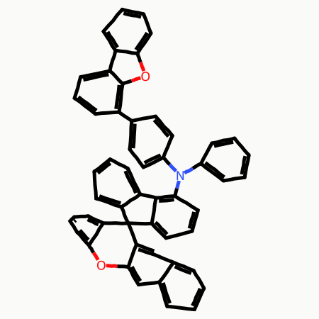 c1ccc(N(c2ccc(-c3cccc4c3oc3ccccc34)cc2)c2cccc3c2-c2ccccc2C32c3ccccc3Oc3cc4ccccc4cc32)cc1